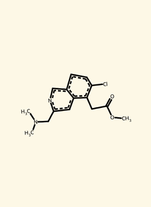 COC(=O)Cc1c(Cl)ccc2cnc(CN(C)C)cc12